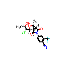 C[C@@H](O)[C@@H](Cl)C1(C)OC2(C)[C@@H]3C(=O)N(c4ccc(C#N)c(C(F)(F)F)c4)C(=O)[C@@]312